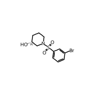 O=S(=O)(c1cccc(Br)c1)N1CCC[C@@H](O)C1